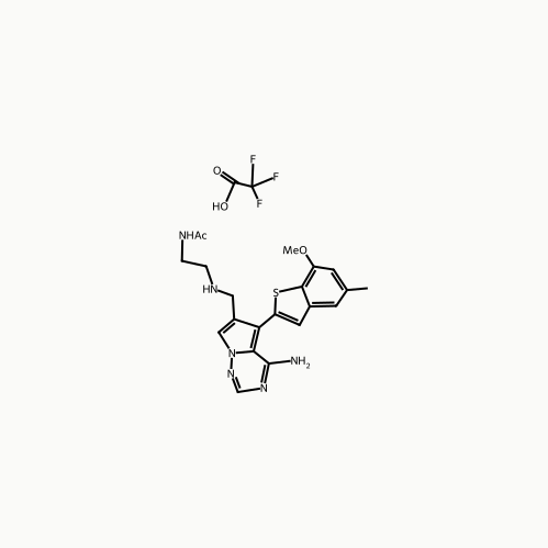 COc1cc(C)cc2cc(-c3c(CNCCNC(C)=O)cn4ncnc(N)c34)sc12.O=C(O)C(F)(F)F